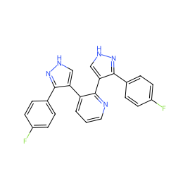 Fc1ccc(-c2n[nH]cc2-c2cccnc2-c2c[nH]nc2-c2ccc(F)cc2)cc1